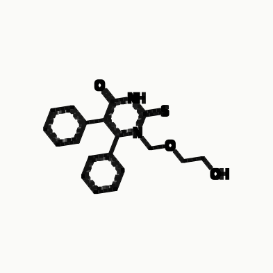 O=c1[nH]c(=S)n(COCCO)c(-c2ccccc2)c1-c1ccccc1